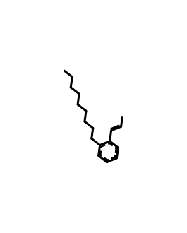 C/C=C/c1ccccc1CCCCCCCCC